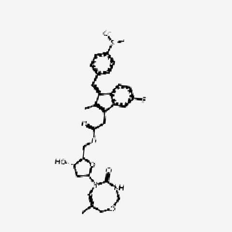 CC1=C(CC(=O)OC[C@H]2O[C@@H](N3/C=C(/C)COCNC3=O)C[C@@H]2O)c2cc(F)ccc2/C1=C\c1ccc([S+](C)[O-])cc1